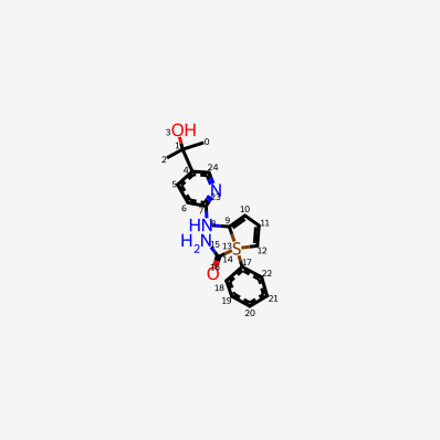 CC(C)(O)c1ccc(NC2=CC=CS2(C(N)=O)c2ccccc2)nc1